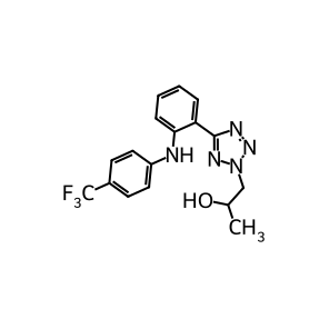 CC(O)Cn1nnc(-c2ccccc2Nc2ccc(C(F)(F)F)cc2)n1